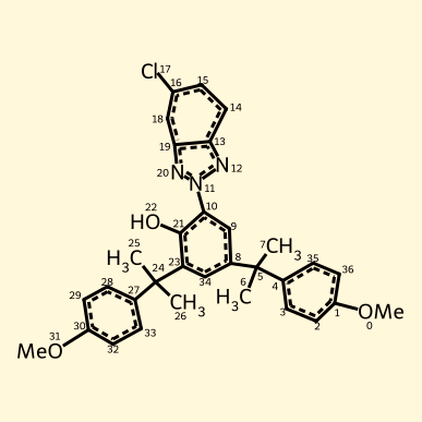 COc1ccc(C(C)(C)c2cc(-n3nc4ccc(Cl)cc4n3)c(O)c(C(C)(C)c3ccc(OC)cc3)c2)cc1